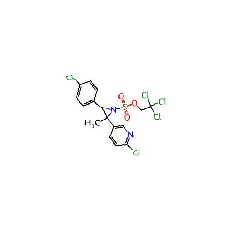 CC1(c2ccc(Cl)nc2)C(c2ccc(Cl)cc2)N1S(=O)(=O)OCC(Cl)(Cl)Cl